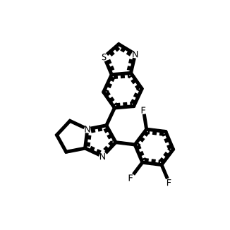 Fc1ccc(F)c(-c2nc3n(c2-c2ccc4ncsc4c2)CCC3)c1F